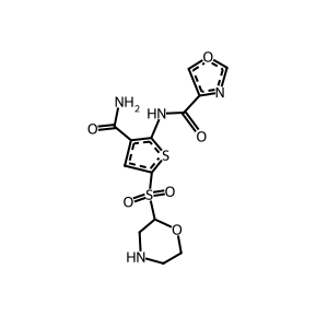 NC(=O)c1cc(S(=O)(=O)C2CNCCO2)sc1NC(=O)c1cocn1